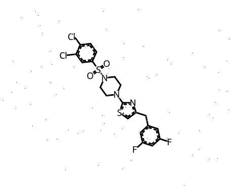 O=S(=O)(c1ccc(Cl)c(Cl)c1)N1CCN(c2nc(Cc3cc(F)cc(F)c3)cs2)CC1